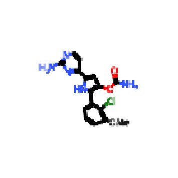 COc1cccc(-c2[nH]c(-c3ccnc(N)n3)cc2OC(N)=O)c1Cl